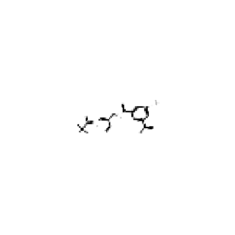 C=C/C(=C\N=C(/C)C(C)(C)F)CNC(=C)c1cc(O)cc(C(=C)C)c1